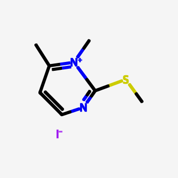 CSc1nccc(C)[n+]1C.[I-]